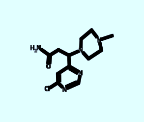 CN1CCN(C(CC(N)=O)c2cc(Cl)ncn2)CC1